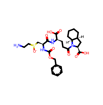 NCC[S+]([O-])C[C@H](NC(=O)OCc1ccccc1)C(=O)N[C@H](CCC(=O)N1[C@H](C(=O)O)C[C@@H]2CCCC[C@@H]21)C(=O)O